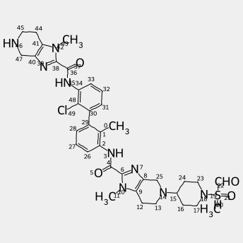 Cc1c(NC(=O)c2nc3c(n2C)CCN(C2CCN([SH](C)(=O)C=O)CC2)C3)cccc1-c1cccc(NC(=O)c2nc3c(n2C)CCNC3)c1Cl